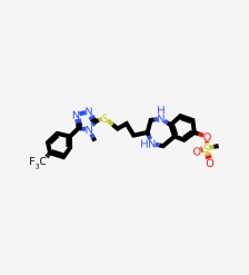 Cn1c(SCCCC2CNc3ccc(OS(C)(=O)=O)cc3CN2)nnc1-c1ccc(C(F)(F)F)cc1